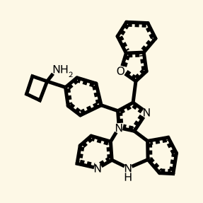 NC1(c2ccc(-c3c(-c4cc5ccccc5o4)nc4n3-c3cccnc3Nc3ccccc3-4)cc2)CCC1